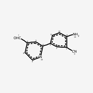 N#Cc1cc(-c2cc(C=O)ccn2)ccc1N